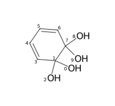 OC1(O)C=CC=CC1(O)O